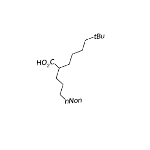 CCCCCCCCCCCCC(CCCCC(C)(C)C)C(=O)O